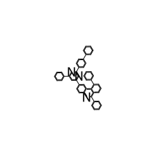 c1ccc(-c2ccc(-c3nc(-c4ccccc4)cc(-c4ccc5nc(-c6ccccc6)c6cccc(-c7ccccc7)c6c5c4)n3)cc2)cc1